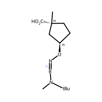 CN(/B=N/O[C@@H]1CC[C@@](C)(C(=O)O)C1)C(C)(C)C